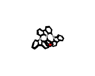 C1=Cc2c(c3ccccc3n2C2CC=Cc3c2n(-c2ccccc2)c2c(-n4c5ccccc5c5ccccc54)cccc32)CC1